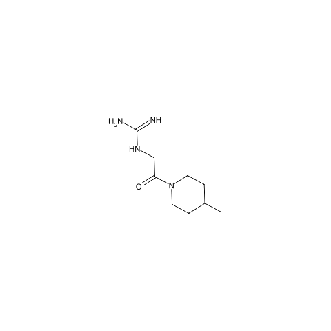 CC1CCN(C(=O)CNC(=N)N)CC1